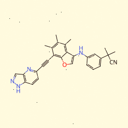 Cc1c(C)c(C)c2c(Nc3cccc(C(C)(C)C#N)c3)coc2c1C#Cc1ccc2[nH]ncc2n1